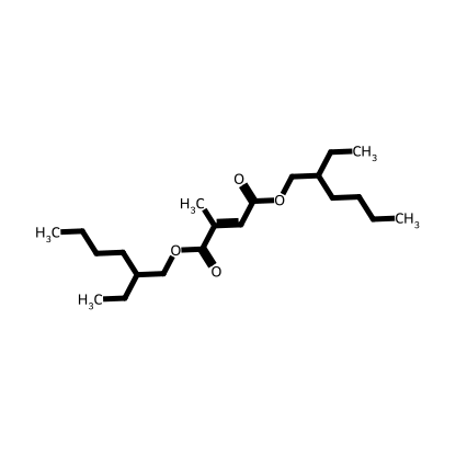 CCCCC(CC)COC(=O)/C=C(\C)C(=O)OCC(CC)CCCC